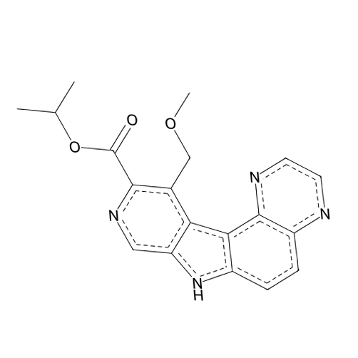 COCc1c(C(=O)OC(C)C)ncc2[nH]c3ccc4nccnc4c3c12